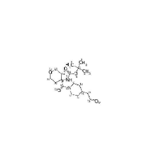 CC(C)(C)OC(=O)NC1(C(=O)N2CCC(CC=O)CC2)CCOCC1